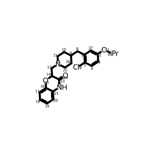 CC(C)Oc1ccc(Cl)c(CC2CCN(CC3Oc4ccccc4NC3=O)CC2)c1